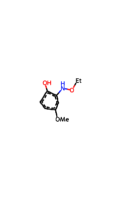 CCONc1cc(OC)ccc1O